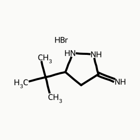 Br.CC(C)(C)C1CC(=N)NN1